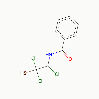 O=C(NC(Cl)C(S)(Cl)Cl)c1ccccc1